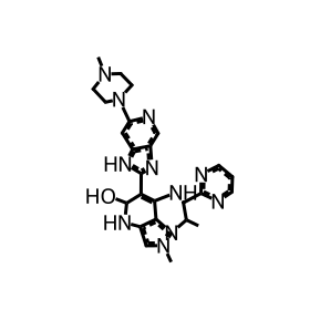 CC(C)[C@H](NC1=C(c2nc3cnc(N4CCN(C)CC4)cc3[nH]2)C(O)Nc2cn(C)nc21)c1ncccn1